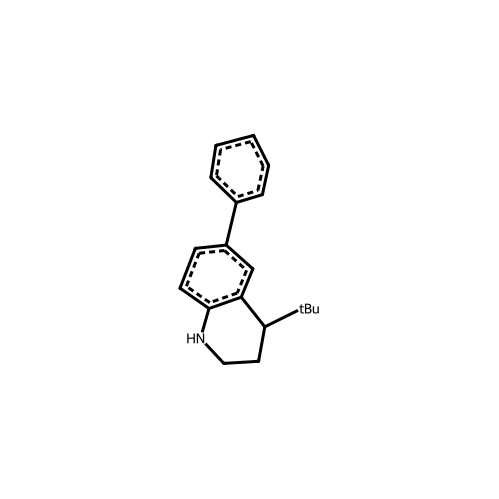 CC(C)(C)C1CCNc2ccc(-c3ccccc3)cc21